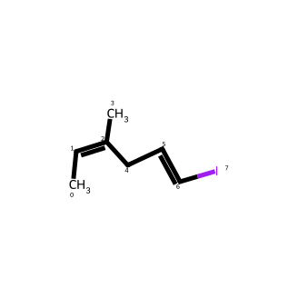 CC=C(C)CC=CI